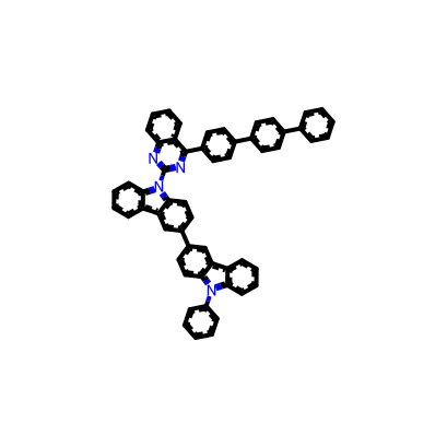 c1ccc(-c2ccc(-c3ccc(-c4nc(-n5c6ccccc6c6cc(-c7ccc8c(c7)c7ccccc7n8-c7ccccc7)ccc65)nc5ccccc45)cc3)cc2)cc1